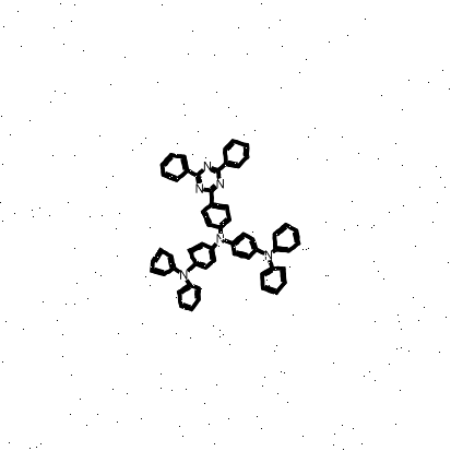 c1ccc(-c2nc(-c3ccccc3)nc(-c3ccc(N(c4ccc(N(c5ccccc5)c5ccccc5)cc4)c4ccc(N(c5ccccc5)c5ccccc5)cc4)cc3)n2)cc1